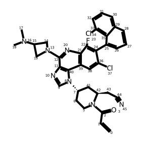 C=CC(=O)N1CC[C@H](n2cnc3c(N4CC(N(C)C)C4)nc4c(F)c(-c5cccc6cccc(Cl)c56)c(Cl)cc4c32)C[C@H]1CC#N